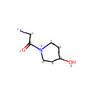 O=C(CI)N1CCC(O)CC1